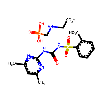 Cc1cc(C)nc(NC(=O)NS(=O)(=O)c2ccccc2C(=O)O)n1.O=C(O)CNCP(=O)(O)O